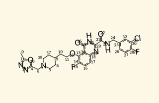 Cc1nnc(CN2CCC(CCOc3c(F)ccc4nc(C(=O)NCc5ccc(F)c(Cl)c5)[nH]c(=O)c34)CC2)o1